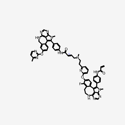 C=CC(=O)Nc1ccc(-c2c3c4c(ncnc4n2C)NCCc2c-3ccc(Oc3cccc(CCN(C)C/C=C/C(=O)Nc4ccc(-c5c6c7c(ncnc7n5C)NCc5cc(Oc7nccc(C)n7)ccc5-6)cc4)n3)c2F)cc1